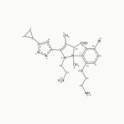 CC1=C(c2nnc(C3CC3)o2)N(CCN)C(C)(c2cc(Br)ccc2OCCN)C1C=O